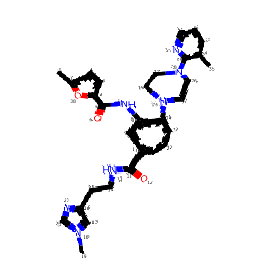 Cc1ccc(C(=O)Nc2cc(C(=O)NCCc3cn(C)cn3)ccc2N2CCN(c3ncccc3C)CC2)o1